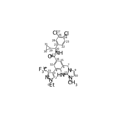 CCn1cc(-c2cc(Cn3ccn(C)c3=N)cc(C(=O)NC(c3ccc(Cl)c(Cl)c3)C3CC3)c2)c(C(F)(F)F)n1